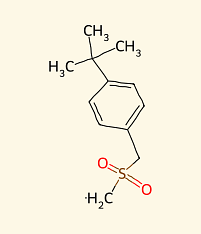 [CH2]S(=O)(=O)Cc1ccc(C(C)(C)C)cc1